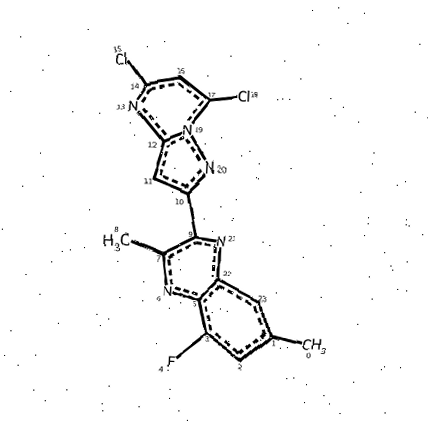 Cc1cc(F)c2nc(C)c(-c3cc4nc(Cl)cc(Cl)n4n3)nc2c1